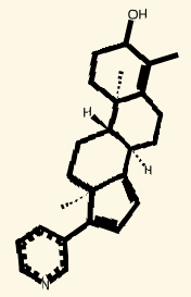 CC1=C2CC[C@H]3C4=CC=C(c5cccnc5)[C@@]4(C)CC[C@@H]3[C@@]2(C)CCC1O